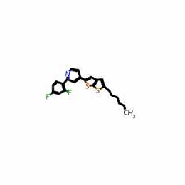 CCCCCCc1cc2cc(-c3ccnc(-c4ccc(F)cc4F)c3)sc2s1